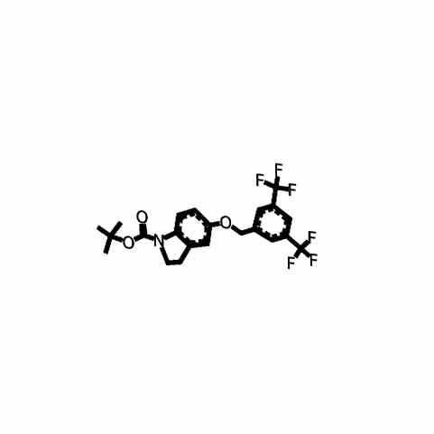 CC(C)(C)OC(=O)N1CCc2cc(OCc3cc(C(F)(F)F)cc(C(F)(F)F)c3)ccc21